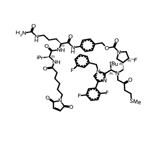 CSCCC(=O)CN(C[C@@H]1CN(C(=O)OCc2ccc(NC(=O)[C@H](CCCNC(N)=O)NC(=O)[C@@H](NC(=O)CCCCCN3C(=O)C=CC3=O)C(C)C)cc2)C[C@@H]1F)[C@@H](c1nc(-c2cc(F)ccc2F)cn1Cc1cccc(F)c1)C(C)(C)C